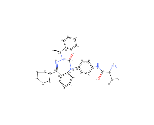 CC(C)C(N)C(=O)Nc1ccc(N2C(=O)N([C@@H](C)c3ccccc3)N=C(C3CCCCC3)c3ccccc32)cc1